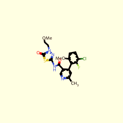 COCCn1nc(NC(=O)c2cnc(C)cc2-c2c(OC)ccc(Cl)c2F)sc1=O